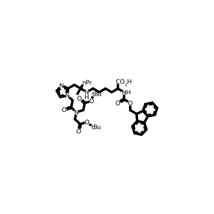 CCCC(C)(Cc1nccn1CC(=O)N(CC(=O)OC(C)(C)C)CC(=O)OC(C)(C)C)NCCCCC(NC(=O)OCC1c2ccccc2-c2ccccc21)C(=O)O